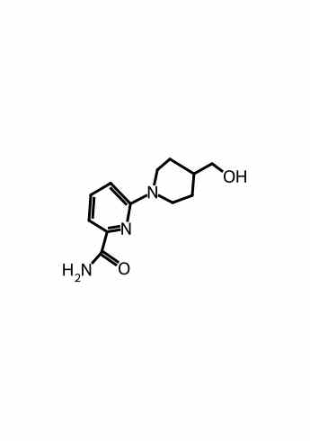 NC(=O)c1cccc(N2CCC(CO)CC2)n1